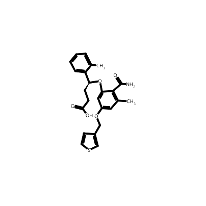 Cc1ccccc1[C@H](CCC(=O)O)Oc1cc(OCc2ccsc2)cc(C)c1C(N)=O